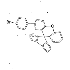 Brc1ccc(-c2ccc3c(c2)C2(c4ccccc4O3)c3ccccc3-c3ccccc32)cc1